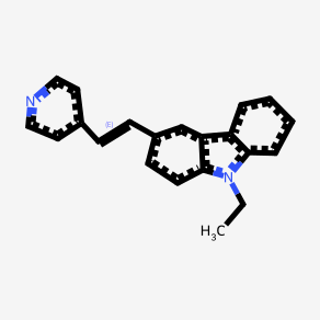 CCn1c2ccccc2c2cc(/C=C/c3ccncc3)ccc21